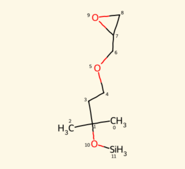 CC(C)(CCOCC1CO1)O[SiH3]